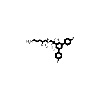 CC(C)(CNC[C@@H](N)CCCN)c1cc(-c2ccc(F)cc2)cc(-c2ccc(F)cc2)c1